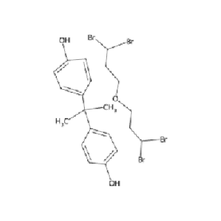 BrC(Br)CCOCCC(Br)Br.CC(C)(c1ccc(O)cc1)c1ccc(O)cc1